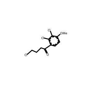 COc1ccc(C(=O)CCCCl)c(Cl)c1Cl